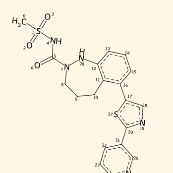 CS(=O)(=O)NC(=O)N1CCCc2c(cccc2-c2cnc(-c3cccnc3)s2)N1